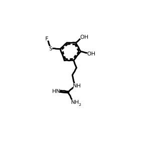 N=C(N)NCCc1cc(SF)cc(O)c1O